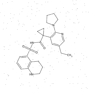 CCc1cnc(N2CCCC2)c(C2(C(=O)NS(=O)(=O)c3cccc4c3CCCN4)CC2)c1